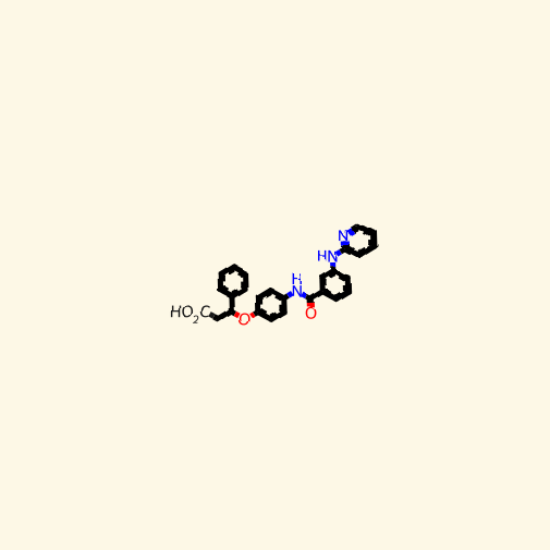 O=C(O)CC(Oc1ccc(NC(=O)c2cccc(Nc3ccccn3)c2)cc1)c1ccccc1